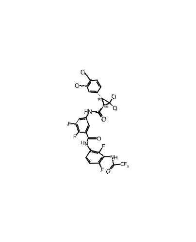 O=C(Nc1ccc(F)c(NC(=O)C(F)(F)F)c1F)c1cc(NC(=O)[C@H]2[C@H](c3ccc(Cl)c(Cl)c3)C2(Cl)Cl)cc(F)c1F